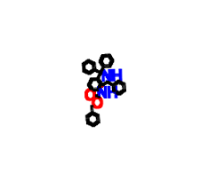 O=C(NC[C@@H](NC(c1ccccc1)(c1ccccc1)c1ccccc1)c1ccccc1)OCc1ccccc1